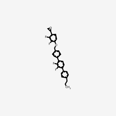 CCCc1ccc(-c2ccc(-c3ccc(COc4ccc(C5CO5)c(F)c4F)cc3)c(F)c2F)cc1